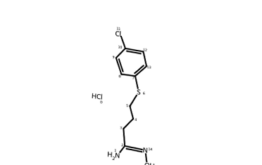 Cl.NC(CCCSc1ccc(Cl)cc1)=NO